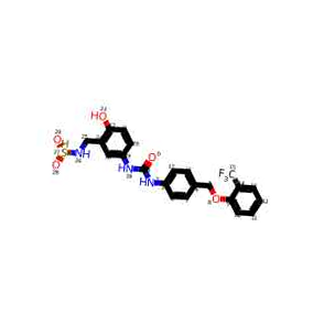 O=C(Nc1ccc(COc2ccccc2C(F)(F)F)cc1)Nc1ccc(O)c(CN[SH](=O)=O)c1